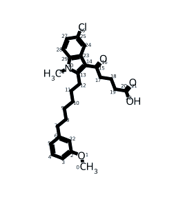 COc1cccc(CCCCCCc2c(C(=O)CCCC(=O)O)c3cc(Cl)ccc3n2C)c1